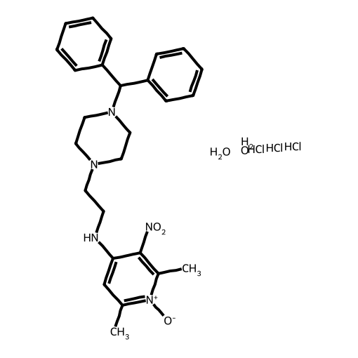 Cc1cc(NCCN2CCN(C(c3ccccc3)c3ccccc3)CC2)c([N+](=O)[O-])c(C)[n+]1[O-].Cl.Cl.Cl.O.O